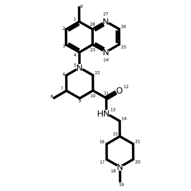 Cc1ccc(N2CC(C)CC(C(=O)NCC3CCN(C)CC3)C2)c2nccnc12